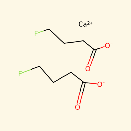 O=C([O-])CCCF.O=C([O-])CCCF.[Ca+2]